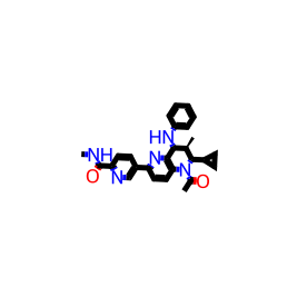 CNC(=O)c1ccc(-c2ccc3c(n2)C(Nc2ccccc2)[C@@H](C)C(C2CC2)N3C(C)=O)cn1